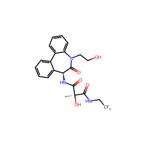 C[C@@](O)(C(=O)NCC(F)(F)F)C(=O)N[C@@H]1C(=O)N(CCO)c2ccccc2-c2ccccc21